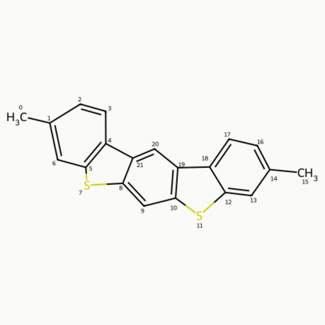 Cc1ccc2c(c1)sc1cc3sc4cc(C)ccc4c3cc12